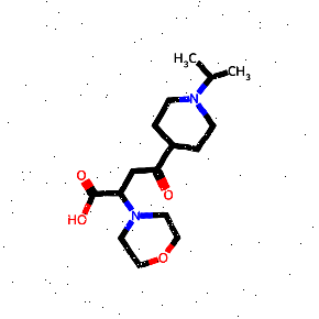 CC(C)N1CCC(C(=O)CC(C(=O)O)N2CCOCC2)CC1